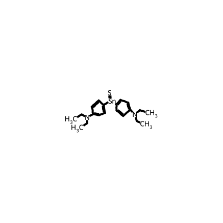 CCN(CC)c1cc[c]([Sn](=[S])[c]2ccc(N(CC)CC)cc2)cc1